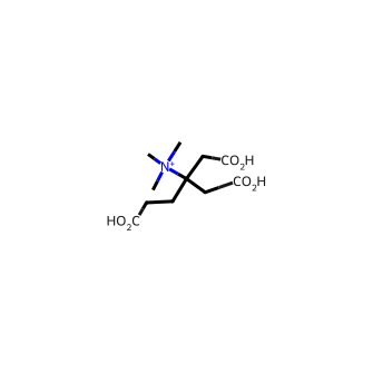 C[N+](C)(C)C(CCC(=O)O)(CC(=O)O)CC(=O)O